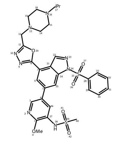 COc1ncc(-c2cc(-c3nnc(CN4CCN(C(C)C)CC4)o3)c3cnn(S(=O)(=O)c4ccccc4)c3c2)cc1NS(C)(=O)=O